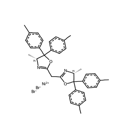 Cc1ccc(C2(c3ccc(C)cc3)OC(CC3=N[C@H](C)C(c4ccc(C)cc4)(c4ccc(C)cc4)O3)=N[C@@H]2C)cc1.[Br-].[Br-].[Ni+2]